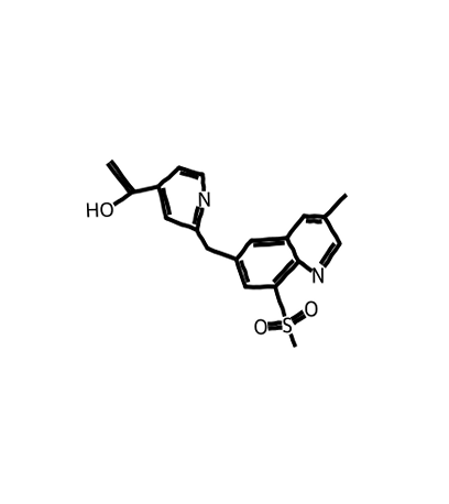 C=C(O)c1ccnc(Cc2cc(S(C)(=O)=O)c3ncc(C)cc3c2)c1